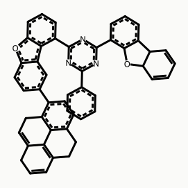 C1=CC2Oc3c(-c4nc(-c5ccccc5)nc(-c5cccc6oc7ccc(-c8ccc9c%10c8CC=C8CC=CC(=C8%10)CC9)cc7c56)n4)cccc3C2C=C1